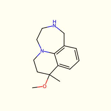 COC1(C)CCN2CCNCc3cccc1c32